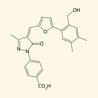 CC1=NN(c2ccc(C(=O)O)cc2)C(=O)C1=Cc1ccc(-c2cc(C)c(C)cc2CO)o1